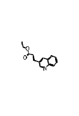 CCOC(=O)C=Cc1cnc2ccccc2c1